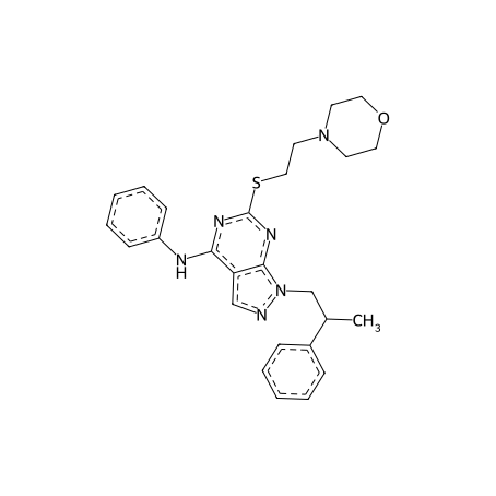 CC(Cn1ncc2c(Nc3ccccc3)nc(SCCN3CCOCC3)nc21)c1ccccc1